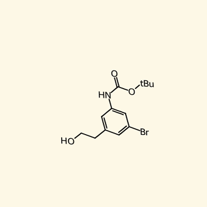 CC(C)(C)OC(=O)Nc1cc(Br)cc(CCO)c1